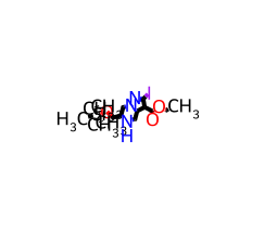 CCOC(=O)C1C(I)=NN2CC(CO[Si](C)(C)C(C)(C)C)NCC12